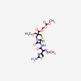 COCC1(C(=O)OCOC(=O)OC)CS[C@@H]2C(NC(=O)C(=NOC)c3csc(N)n3)C(=O)N2C1